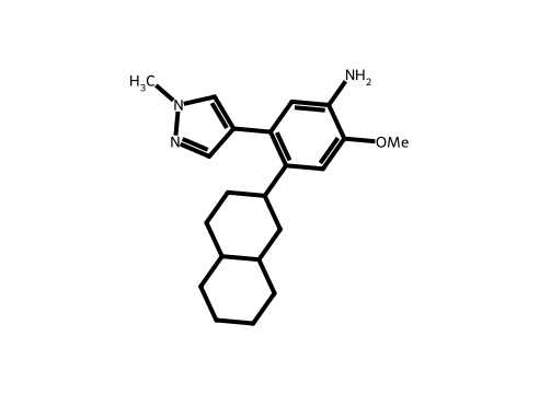 COc1cc(C2CCC3CCCCC3C2)c(-c2cnn(C)c2)cc1N